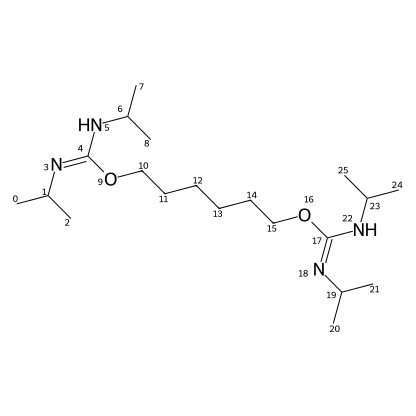 CC(C)N=C(NC(C)C)OCCCCCCOC(=NC(C)C)NC(C)C